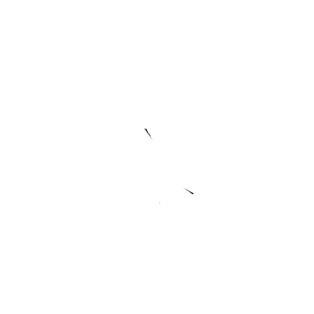 CCC(C)[C@H]1CC[C@]2(C)OC2C1